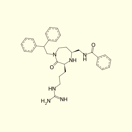 N=C(N)NCCC[C@@H]1N[C@H](CNC(=O)c2ccccc2)CCN(CC(c2ccccc2)c2ccccc2)C1=O